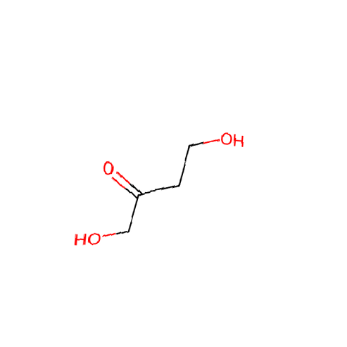 O=C(CO)CCO